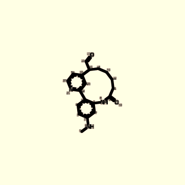 CNc1ccc2c(c1)NC(=O)CCCCC(C=O)c1ccnc-2c1